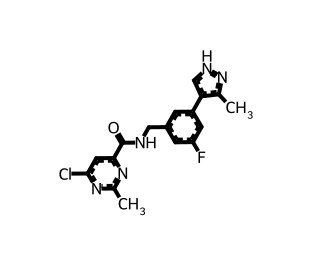 Cc1nc(Cl)cc(C(=O)NCc2cc(F)cc(-c3c[nH]nc3C)c2)n1